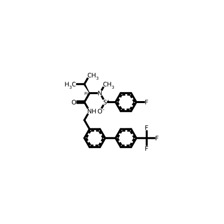 CC(C)[C@H](C(=O)NCc1cccc(-c2ccc(C(F)(F)F)cc2)c1)N(C)[S+]([O-])c1ccc(F)cc1